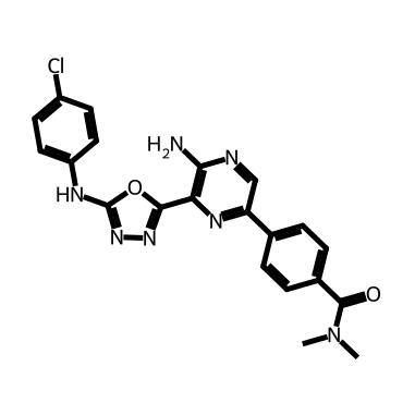 CN(C)C(=O)c1ccc(-c2cnc(N)c(-c3nnc(Nc4ccc(Cl)cc4)o3)n2)cc1